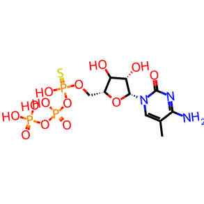 Cc1cn([C@@H]2O[C@H](COP(O)(=S)OP(=O)(O)OP(=O)(O)O)C(O)[C@@H]2O)c(=O)nc1N